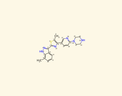 Cc1sc(-c2n[nH]c3c(C)cccc23)nc1-c1ccc(N2CCNCC2)nc1